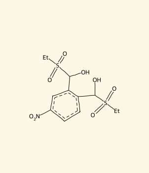 CCS(=O)(=O)C(O)c1ccc([N+](=O)[O-])cc1C(O)S(=O)(=O)CC